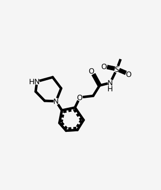 CS(=O)(=O)NC(=O)COc1ccccc1N1CCNCC1